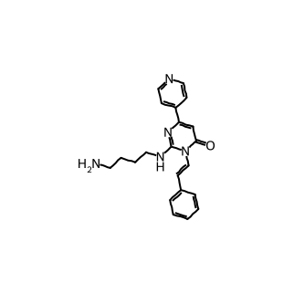 NCCCCNc1nc(-c2ccncc2)cc(=O)n1C=Cc1ccccc1